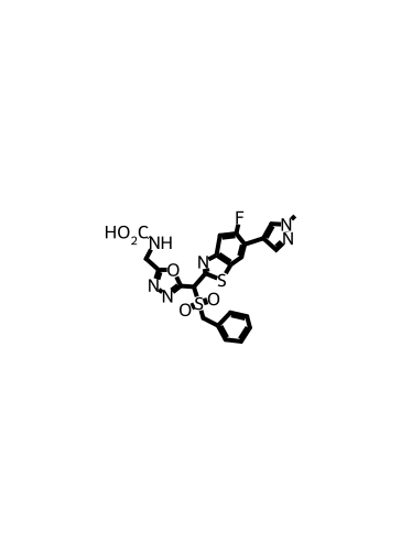 Cn1cc(-c2cc3sc(C(c4nnc(CNC(=O)O)o4)S(=O)(=O)Cc4ccccc4)nc3cc2F)cn1